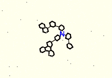 c1ccc(-c2cccc(N(c3ccc(-c4ccc5c6ccccc6c6ccccc6c5c4)cc3)c3cccc(-c4cccc(-c5cccc6ccccc56)c4)c3)c2)cc1